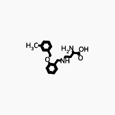 Cc1cccc(COc2ccccc2CNCCC(N)C(=O)O)c1